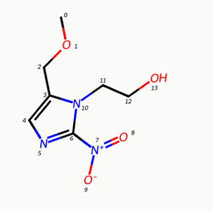 COCc1cnc([N+](=O)[O-])n1CCO